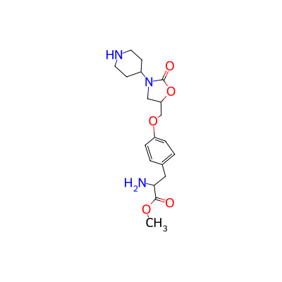 COC(=O)C(N)Cc1ccc(OCC2CN(C3CCNCC3)C(=O)O2)cc1